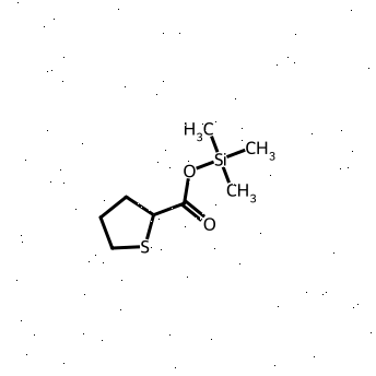 C[Si](C)(C)OC(=O)C1CCCS1